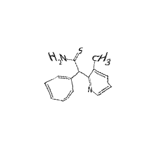 Cc1cccnc1C(C(N)=S)c1ccccc1